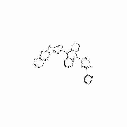 c1ccc(-c2cccc(-c3c4ccccc4c(-c4ccc5sc6cc7ccccc7cc6c5c4)c4ccccc34)n2)cc1